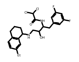 CCc1ccc2c(c1)C(NCC(O)C(Cc1cc(F)cc(F)c1)NC(=O)C(Cl)Cl)CCC2